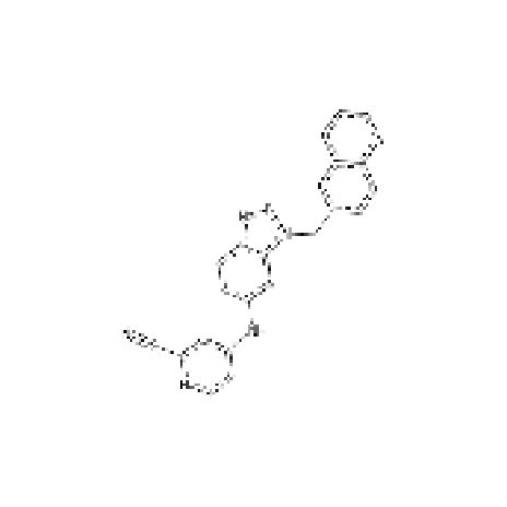 N#Cc1cc(Nc2ccc3nnn(Cc4ccc5ncccc5c4)c3n2)ccn1